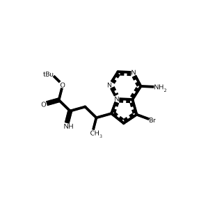 CC(CC(=N)C(=O)OC(C)(C)C)c1cc(Br)c2c(N)ncnn12